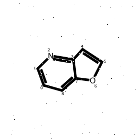 [c]1cnc2ccoc2c1